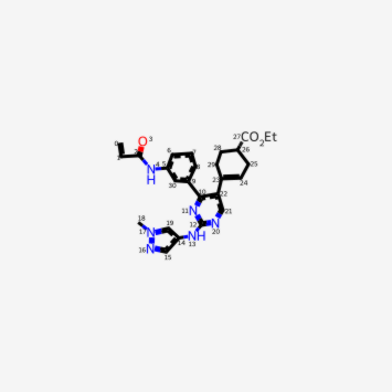 C=CC(=O)Nc1cccc(-c2nc(Nc3cnn(C)c3)ncc2C2=CCC(C(=O)OCC)CC2)c1